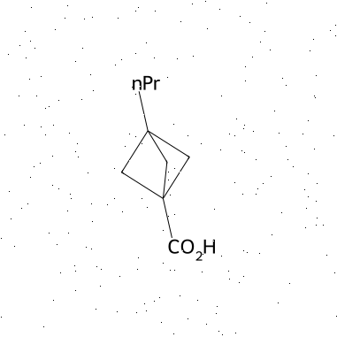 CCCC12CC(C(=O)O)(C1)C2